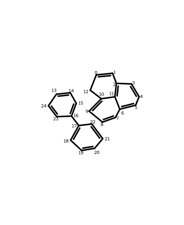 C1=Cc2cccc3cccc(c23)C1.c1ccc(-c2ccccc2)cc1